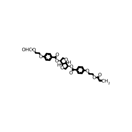 C=CC(=O)OCCOc1ccc(C(=O)O[C@H]2CO[C@@H]3[C@H]2OC[C@@H]3OC(=O)c2ccc(OCCOC=O)cc2)cc1